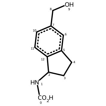 O=C(O)NC1CCc2cc(CO)ccc21